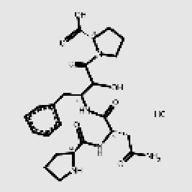 Cl.NC(=O)C[C@H](NC(=O)[C@@H]1CCCN1)C(=O)N[C@@H](Cc1ccccc1)C(O)C(=O)N1CCC[C@H]1C(=O)O